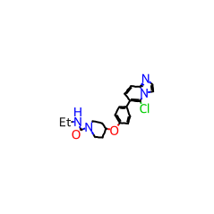 CCNC(=O)N1CCC(Oc2ccc(-c3ccc4nccn4c3Cl)cc2)CC1